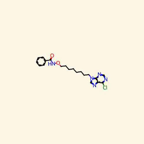 O=C(NOCCCCCCCCn1cnc2c(Cl)ncnc21)c1ccccc1